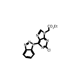 CCOC(=O)Cn1cnc2c(-n3nnc4ccccc43)nc(Cl)nc21